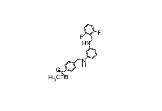 CS(=O)(=O)c1ccc(CNc2cccc(NCc3c(F)cccc3F)c2)cc1